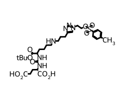 Cc1ccc(S(=O)(=O)OCCn2cc(CCCNCCCCC(NC(=O)N[C@@H](CCC(=O)O)C(=O)O)C(=O)OC(C)(C)C)nn2)cc1